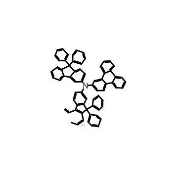 C=CC1=C(/C=C\C)C(c2ccccc2)(c2ccccc2)c2cc(N(c3ccc4c(c3)-c3ccccc3C4(c3ccccc3)c3ccccc3)c3ccc4c5ccccc5c5ccccc5c4c3)ccc21